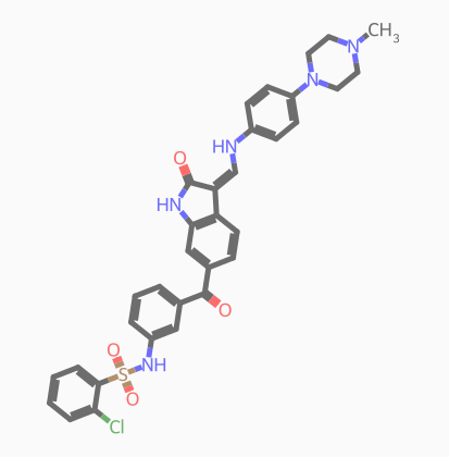 CN1CCN(c2ccc(NC=C3C(=O)Nc4cc(C(=O)c5cccc(NS(=O)(=O)c6ccccc6Cl)c5)ccc43)cc2)CC1